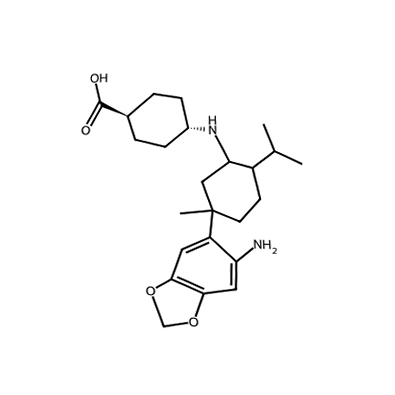 CC(C)C1CCC(C)(c2cc3c(cc2N)OCO3)CC1N[C@H]1CC[C@H](C(=O)O)CC1